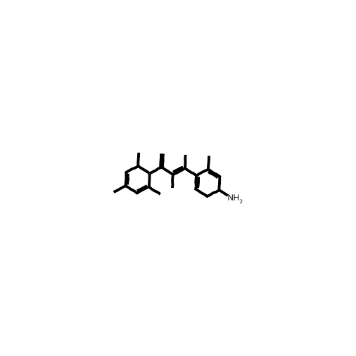 C=C(/C(C)=C(\C)C1=CCC(N)C=C1C)C1C(C)=CC(C)=CC1C